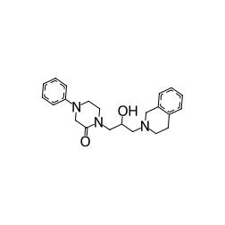 O=C1CN(c2ccccc2)CCN1CC(O)CN1CCc2ccccc2C1